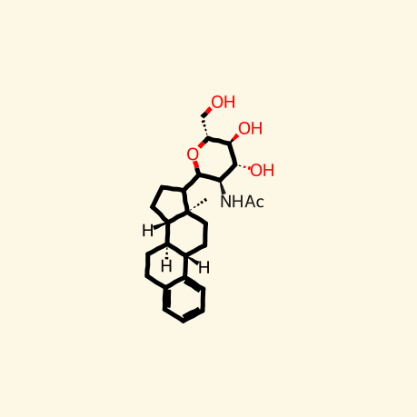 CC(=O)N[C@H]1C(C2CC[C@H]3[C@@H]4CCc5ccccc5[C@H]4CC[C@]23C)O[C@H](CO)[C@@H](O)[C@@H]1O